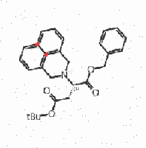 CC(C)(C)OC(=O)C[C@@H](C(=O)OCc1ccccc1)N(Cc1ccccc1)Cc1ccccc1